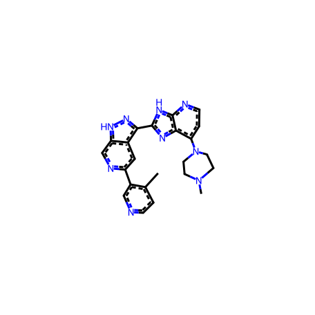 Cc1ccncc1-c1cc2c(-c3nc4c(N5CCN(C)CC5)ccnc4[nH]3)n[nH]c2cn1